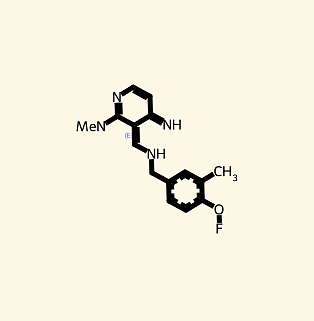 CNC1=NC=CC(=N)/C1=C\NCc1ccc(OF)c(C)c1